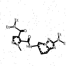 CCN(CC)C(=O)c1cnn(C)c1C(=O)Nc1ccc2nc(N(CC)CC)nn2c1